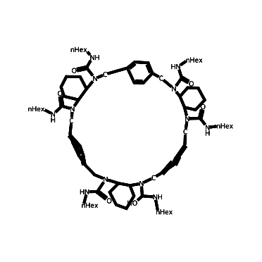 CCCCCCNC(=O)N1Cc2ccc(cc2)CN(C(=O)NCCCCCC)C2CCCCC2N(C(=O)NCCCCCC)Cc2ccc(cc2)CN(C(O)NCCCCCC)C2CCCCC2N(C(=O)NCCCCCC)Cc2ccc(cc2)CN(C(=O)NCCCCCC)C2CCCCC21